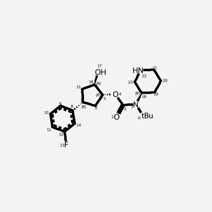 CC(C)(C)N(C(=O)O[C@@H]1C[C@H](c2cccc(F)c2)C[C@H]1O)[C@@H]1CCCNC1